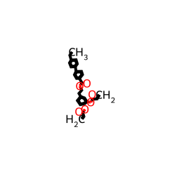 C=CC(=O)Oc1ccc(CCOC(=O)c2ccc(-c3ccc(CC)cc3)cc2)cc1OC(=O)C=C